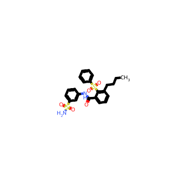 CCCCc1cccc(C(=O)Nc2cccc(S(N)(=O)=O)c2)c1S(=O)(=O)c1ccccc1